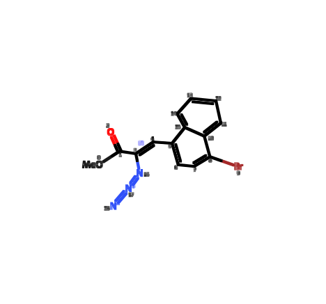 COC(=O)/C(=C/c1ccc(Br)c2ccccc12)N=[N+]=[N-]